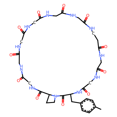 Cc1ccc(CC2NC(=O)CNC(=O)CNC(=O)CCNC(=O)CNC(=O)CNC(=O)CNC(=O)CNC(=O)CNC(=O)CNC(=O)C3CCN3C2=O)cc1